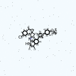 CC(C)c1ccc(Cl)cc1N1C(=O)CS/C1=N\C(=S)NN(C)C(C)c1ccc(-c2ncn(-c3ccc(OC(F)(F)F)cc3)n2)cc1